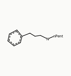 CCCCC[N]CCCc1ccccc1